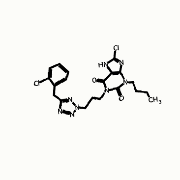 CCCCn1c(=O)n(CCCn2nnc(Cc3ccccc3Cl)n2)c(=O)c2[nH]c(Cl)nc21